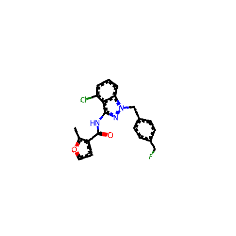 Cc1occc1C(=O)Nc1nn(Cc2ccc(CF)cc2)c2cccc(Cl)c12